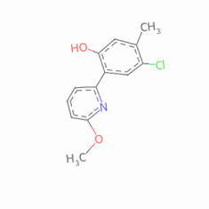 COc1cccc(-c2cc(Cl)c(C)cc2O)n1